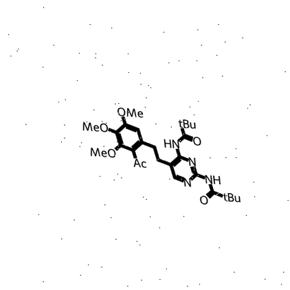 COc1cc(CCc2cnc(NC(=O)C(C)(C)C)nc2NC(=O)C(C)(C)C)c(C(C)=O)c(OC)c1OC